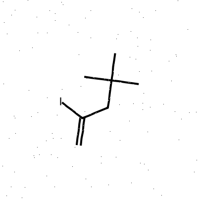 C=C(I)CC(C)(C)C